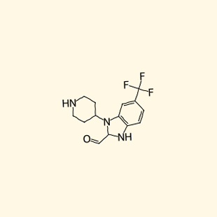 O=CC1Nc2ccc(C(F)(F)F)cc2N1C1CCNCC1